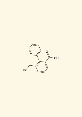 O=C(O)c1cccc(CBr)c1-c1ccccc1